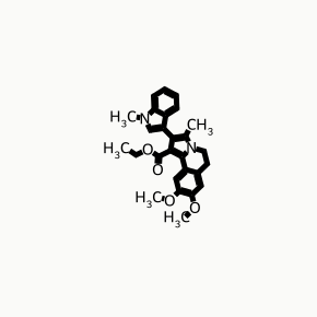 CCOC(=O)c1c(-c2cn(C)c3ccccc23)c(C)n2c1-c1cc(OC)c(OC)cc1CC2